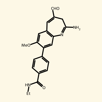 CCNC(=O)c1ccc(-c2cc3c(cc2OC)C=C(C=O)CC(N)=N3)cc1